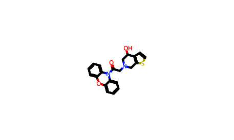 O=C(CN1Cc2sccc2C(O)C1)N1c2ccccc2Oc2ccccc21